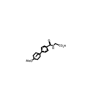 COC12CCC(c3ccc(C(=O)NCC(=O)O)cc3)(CC1)CC2